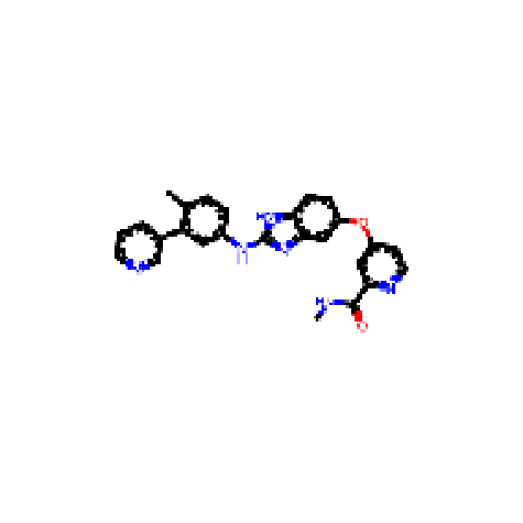 CNC(=O)c1cc(Oc2ccc3[nH]c(Nc4ccc(C)c(-c5cccnc5)c4)nc3c2)ccn1